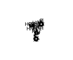 CCC(Nc1nc(NCc2cccc(Cl)c2O)c2ncn(Cc3ccccc3)c2n1)C(C)(C)O